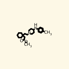 COC(=O)CC1(CCN2CCC(Nc3ccc(C)cc3)CC2)CCCCC1